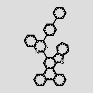 c1ccc(-c2ccc(-c3nc(-c4cc5c6ccccc6c6ccccc6c5c5sc6ccccc6c45)nc4ccccc34)cc2)cc1